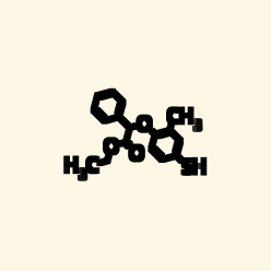 CCOC(=O)C(Oc1ccc(S)cc1C)c1ccccc1